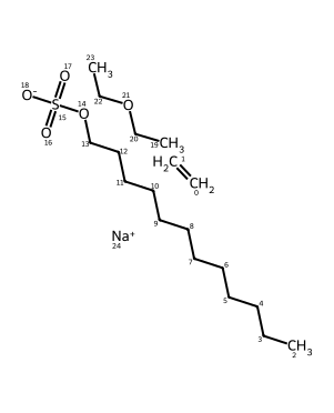 C=C.CCCCCCCCCCCCOS(=O)(=O)[O-].CCOCC.[Na+]